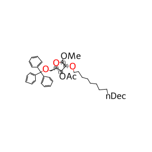 CCCCCCCCCCCCCCCCCCO[C@H]1[C@H](OC)O[C@H](COC(c2ccccc2)(c2ccccc2)c2ccccc2)[C@@H]1OC(C)=O